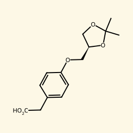 CC1(C)OC[C@H](COc2ccc(CC(=O)O)cc2)O1